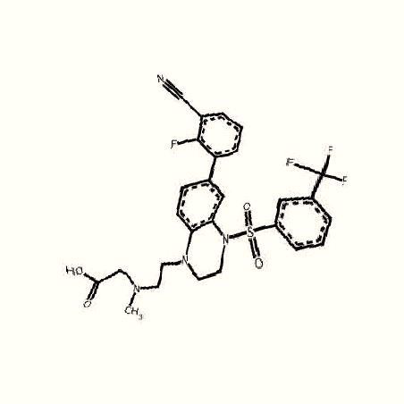 CN(CCN1CCN(S(=O)(=O)c2cccc(C(F)(F)F)c2)c2cc(-c3cccc(C#N)c3F)ccc21)CC(=O)O